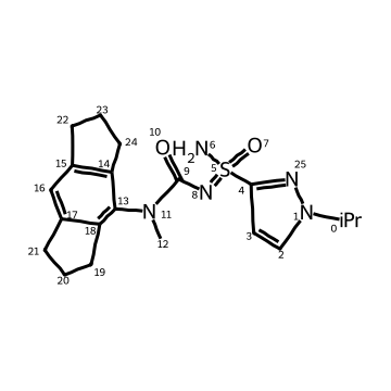 CC(C)n1ccc(S(N)(=O)=NC(=O)N(C)c2c3c(cc4c2CCC4)CCC3)n1